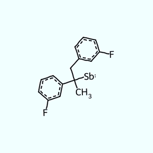 C[C]([Sb])(Cc1cccc(F)c1)c1cccc(F)c1